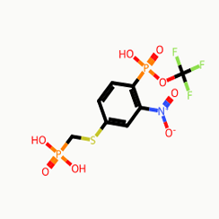 O=[N+]([O-])c1cc(SCP(=O)(O)O)ccc1P(=O)(O)OC(F)(F)F